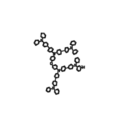 [3H]c1cccc(N(c2ccccc2)c2ccc(-c3ccc(N(c4ccc(Oc5ccc(N(c6ccc(-c7ccc(N(c8ccccc8)c8ccccc8)cc7)cc6)c6ccc(-c7ccc(N(c8ccccc8)c8ccccc8)cc7)cc6)cc5)cc4)c4ccc(-c5ccc(N(c6ccccc6)c6ccccc6)cc5)cc4)cc3)cc2)c1